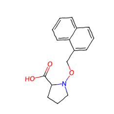 O=C(O)C1CCCN1OCc1cccc2ccccc12